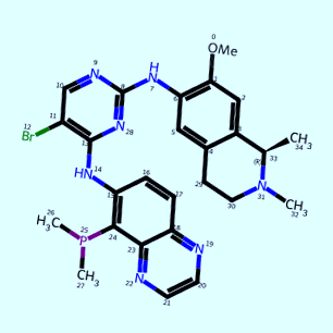 COc1cc2c(cc1Nc1ncc(Br)c(Nc3ccc4nccnc4c3P(C)C)n1)CCN(C)[C@@H]2C